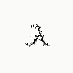 CCCOC(OCCC)[SiH2]CCCN